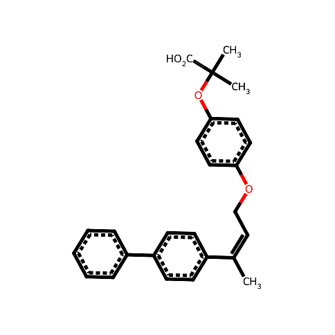 C/C(=C/COc1ccc(OC(C)(C)C(=O)O)cc1)c1ccc(-c2ccccc2)cc1